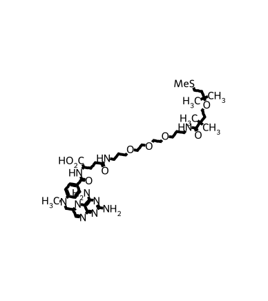 CSCCC(C)(C)OCCC(C)(C)C(=O)NCCCOCCOCCOCCCNC(=O)CCC(NC(=O)c1ccc(N(C)Cc2cnc3nc(N)nc(N)c3n2)cc1)C(=O)O